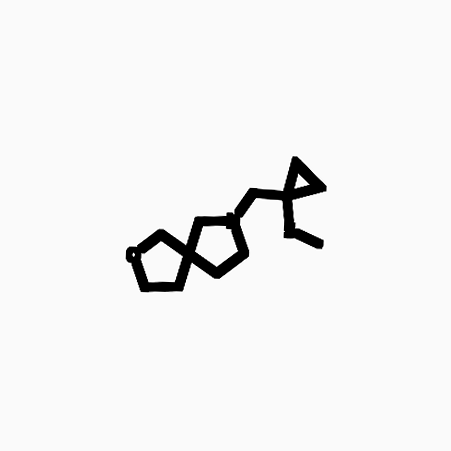 CSC1(CN2CCC3(CCOC3)C2)CC1